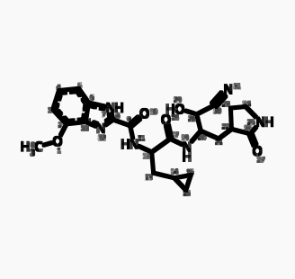 COc1cccc2[nH]c(C(=O)NC(CC3CC3)C(=O)NC(CC3CCNC3=O)C(O)C#N)nc12